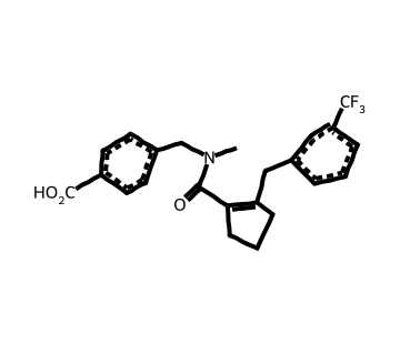 CN(Cc1ccc(C(=O)O)cc1)C(=O)C1=C(Cc2cccc(C(F)(F)F)c2)CCC1